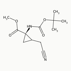 COC(=O)[C@@]1(NC(=O)OC(C)(C)C)CC1CC#N